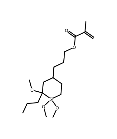 C=C(C)C(=O)OCCCC1CC[Si](OC)(OC)C(CCC)(OC)C1